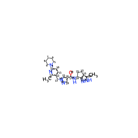 Cc1nc(N2CCCCC2)ccc1Cn1cc(C(=O)NC2CCc3c2n[nH]c3C)cn1